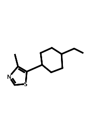 CCC1CCC(c2scnc2C)CC1